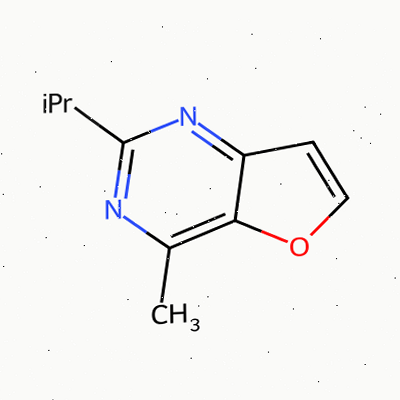 Cc1nc(C(C)C)nc2ccoc12